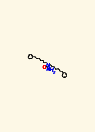 NC(=O)N(CCCCCCCc1ccccc1)CCCCCCCc1ccccc1